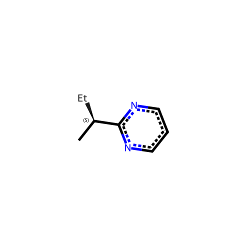 CC[C@H](C)c1ncccn1